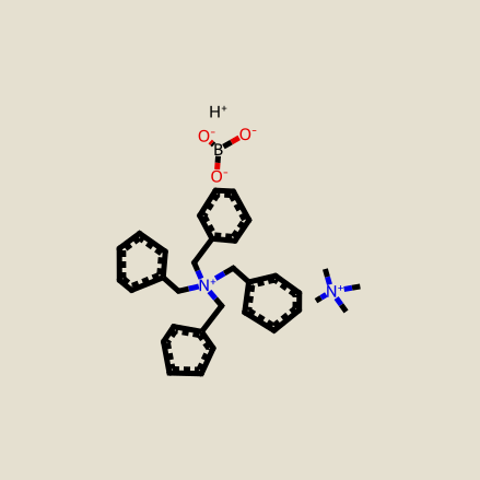 C[N+](C)(C)C.[H+].[O-]B([O-])[O-].c1ccc(C[N+](Cc2ccccc2)(Cc2ccccc2)Cc2ccccc2)cc1